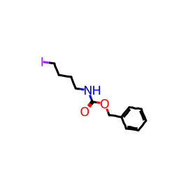 O=C(NCCCCI)OCc1ccccc1